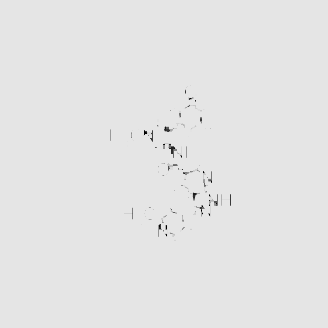 Cc1cc(-c2n[nH]c3ncc(C(=O)N[C@H]4CN(C)C[C@@H]4c4cccc(Cl)c4)cc23)ccn1